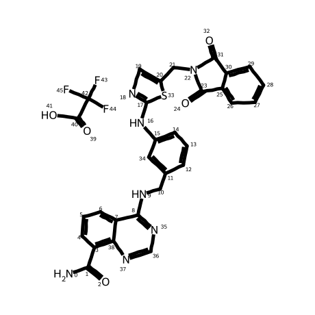 NC(=O)c1cccc2c(NCc3cccc(Nc4ncc(CN5C(=O)c6ccccc6C5=O)s4)c3)ncnc12.O=C(O)C(F)(F)F